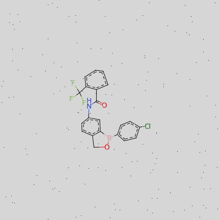 O=C(Nc1ccc2c(c1)B(c1ccc(Cl)cc1)OC2)c1ccccc1C(F)(F)F